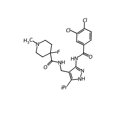 CC(C)c1[nH]nc(NC(=O)c2ccc(Cl)c(Cl)c2)c1CNC(=O)C1(F)CCN(C)CC1